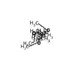 CCCCCCCCCc1ccccc1OC(C)OC(C)OP(OC(C)OC(C)Oc1ccccc1CCCCCCCCC)OC(C)OC(C)Oc1ccccc1CCCCCCCCC